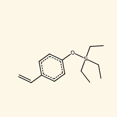 C=Cc1ccc(O[Si](CC)(CC)CC)cc1